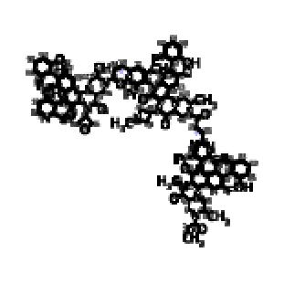 C=CC(=O)N1CC2C(=O)N(C)c3c(c4cc(F)c(-c5c(O)cccc5F)c(F)c4n(-c4c(C)nc(/C=C/C(=O)N5CC6C(=O)N(C7CN(C)C7)c7c(c8cc(Cl)c(-c9c(O)cccc9F)nc8n(-c8c(C)cc(/C=C\C(=O)N9CC%10C(=O)N(C%11COC%11)c%11c(c%12cc(F)c(-c%13c(O)cccc%13F)c(F)c%12n(-c%12c(C)ccnc%12C(C)C)c%11=O)N%10CC9C)nc8C(C)C)c7=O)N6CC5C)nc4C(C)C)c3=O)N2CC1C